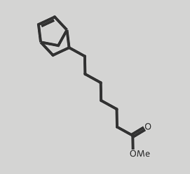 COC(=O)CCCCCCC1CC2C=CC1C2